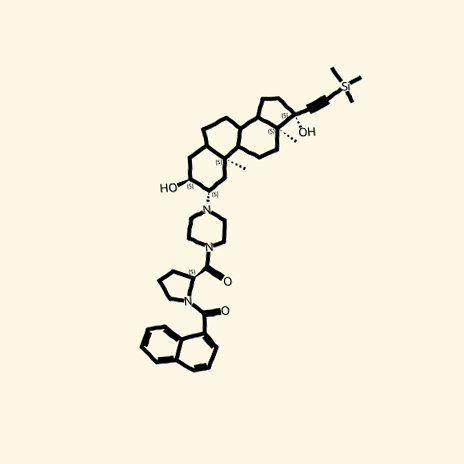 C[C@]12C[C@H](N3CCN(C(=O)[C@@H]4CCCN4C(=O)c4cccc5ccccc45)CC3)[C@@H](O)CC1CCC1C2CC[C@@]2(C)C1CC[C@@]2(O)C#C[Si](C)(C)C